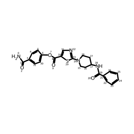 NC(=O)c1ccc(OC(=O)c2cnc(N3CCC(NC(=O)c4ccccc4)CC3)s2)cc1